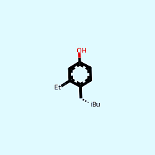 CCc1cc(O)ccc1C[C@@H](C)CC